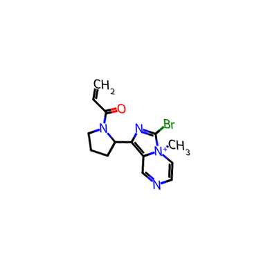 C=CC(=O)N1CCCC1C1=C2C=NC=C[N+]2(C)C(Br)=N1